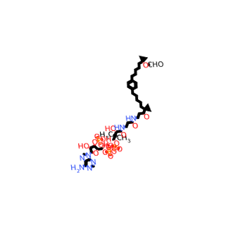 CC(C)(COP(=O)(O)OP(=O)(O)OCC1OC(n2cnc3c(N)ncnc32)C(O)C1OP(=O)(O)O)C(O)C(=O)NCCC(=O)NCCC(=O)C1(CCCCCc2ccc(CCCCCC3(OC=O)CC3)cc2)CC1